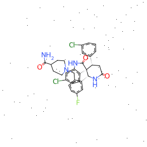 NC(=O)C1CCN(Cc2ccc(F)cc2[C@H]2NC(=O)C[C@@H](c3cccc(Cl)c3)[C@]23C(=O)Nc2cc(Cl)ccc23)CC1